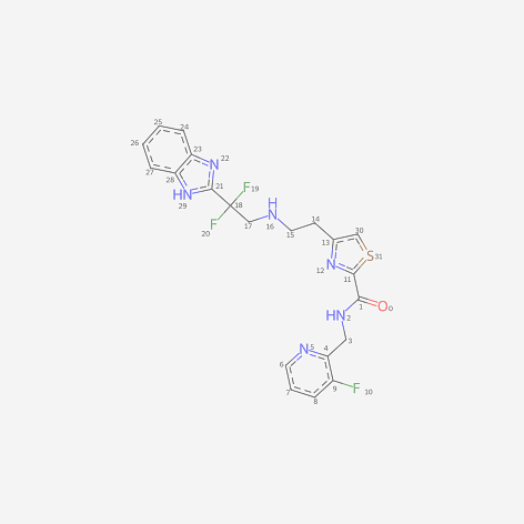 O=C(NCc1ncccc1F)c1nc(CCNCC(F)(F)c2nc3ccccc3[nH]2)cs1